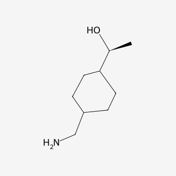 C[C@H](O)C1CCC(CN)CC1